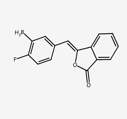 Bc1cc(/C=C2\OC(=O)c3ccccc32)ccc1F